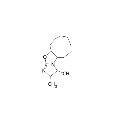 CC1N=C2OC3CCCCCCCC3N2C1C